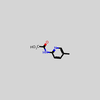 Cc1ccc(NC(=O)C(=O)O)nc1